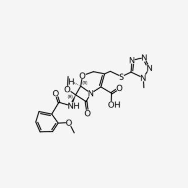 COc1ccccc1C(=O)N[C@]1(OC)C(=O)N2C(C(=O)O)=C(CSc3nnnn3C)CO[C@@H]21